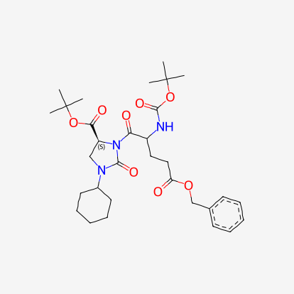 CC(C)(C)OC(=O)NC(CCC(=O)OCc1ccccc1)C(=O)N1C(=O)N(C2CCCCC2)C[C@H]1C(=O)OC(C)(C)C